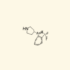 FC(F)(F)c1ccccc1[AsH]C1CCNCC1